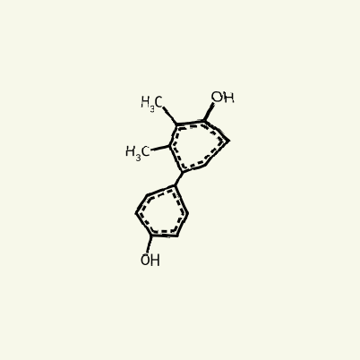 Cc1c(O)ccc(-c2ccc(O)cc2)c1C